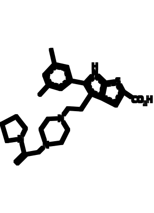 C=C(CN1CCN(CCc2c(-c3cc(C)cc(C)c3)[nH]c3sc(C(=O)O)cc23)CC1)N1CCCC1